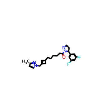 Cc1ccn(CC23CC(CCCCCC(=O)N4N=CCC4c4cc(F)cc(F)c4)(C2)C3)n1